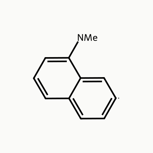 CNc1cccc2cc[c]cc12